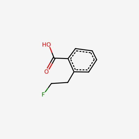 O=C(O)c1ccccc1CCF